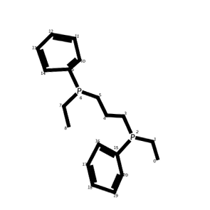 CCP(CCCP(CC)c1ccccc1)c1ccccc1